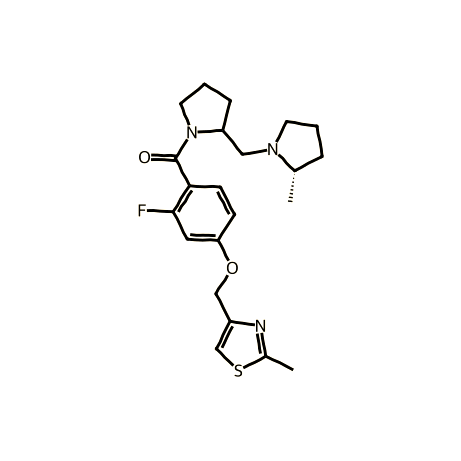 Cc1nc(COc2ccc(C(=O)N3CCCC3CN3CCC[C@@H]3C)c(F)c2)cs1